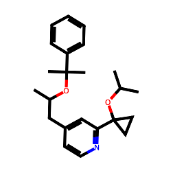 CC(C)OC1(c2cc(CC(C)OC(C)(C)c3ccccc3)ccn2)CC1